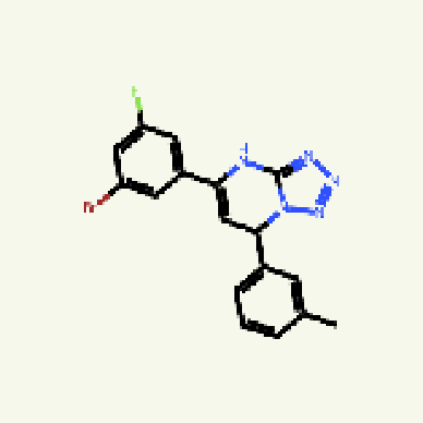 Cc1cccc(C2C=C(c3cc(F)cc(Br)c3)Nc3nnnn32)c1